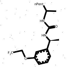 CCCCCC(C)NC(=O)N[C@@H](C)c1cccc(OCC(F)(F)F)c1